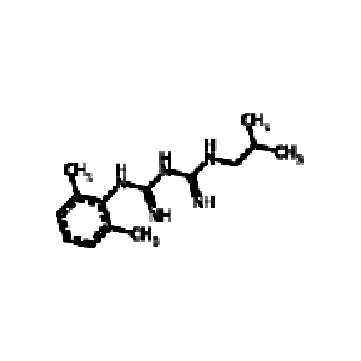 Cc1cccc(C)c1NC(=N)NC(=N)NCC(C)C